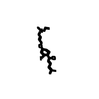 C=CCN(C)CC=CCOc1ccc(C(=O)C=CC=C(C)C)c(F)c1